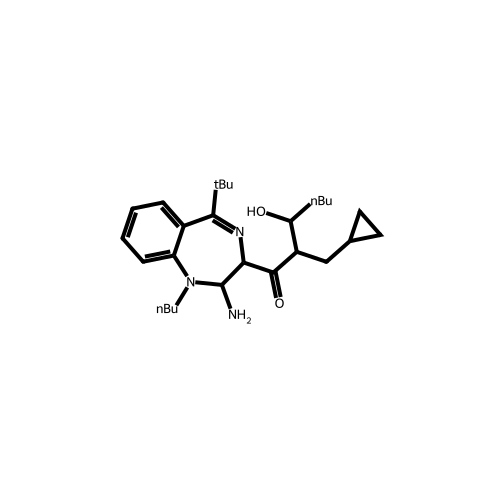 CCCCC(O)C(CC1CC1)C(=O)C1N=C(C(C)(C)C)c2ccccc2N(CCCC)C1N